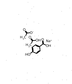 CC(=O)O.CC(=O)[O-].O=C(O)c1ccc(O)cc1.[Na+]